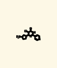 O=c1[nH]c(-c2ccncc2)nc(N2CCC(C(F)(F)F)C2)c1Cl